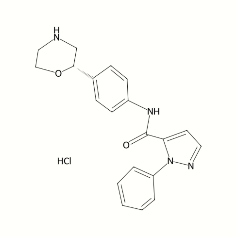 Cl.O=C(Nc1ccc([C@H]2CNCCO2)cc1)c1ccnn1-c1ccccc1